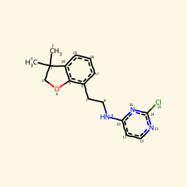 CC1(C)COc2c(CCNc3ccnc(Cl)n3)cccc21